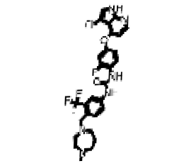 CN1CCCN(Cc2ccc(NC(=O)Nc3ccc(Oc4ccnc5[nH]cc(Cl)c45)cc3F)cc2C(F)(F)F)CC1